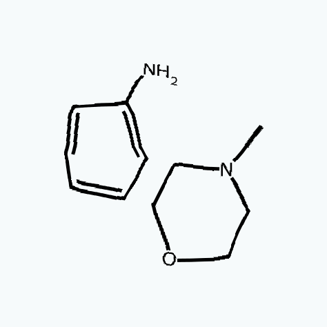 CN1CCOCC1.Nc1ccccc1